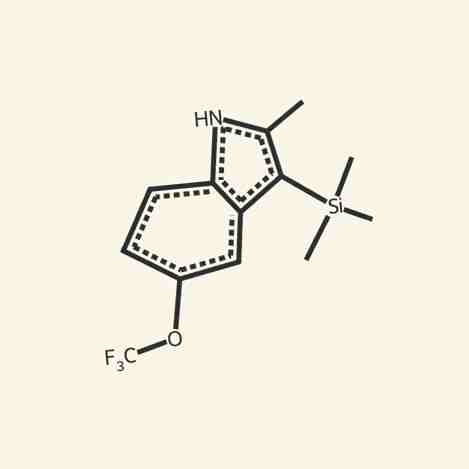 Cc1[nH]c2ccc(OC(F)(F)F)cc2c1[Si](C)(C)C